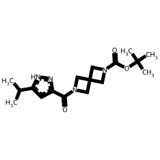 CC(C)c1cc(C(=O)N2CC3(CN(C(=O)OC(C)(C)C)C3)C2)n[nH]1